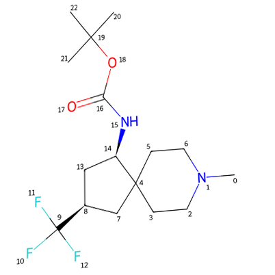 CN1CCC2(CC1)C[C@@H](C(F)(F)F)C[C@H]2NC(=O)OC(C)(C)C